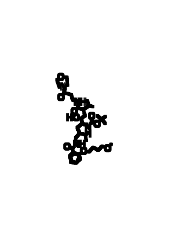 COCCCCOc1ccccc1C(=O)NCC(CC(NC(=O)OC(C)(C)C)C(O)CC(C(=O)NCCC(=O)N1CCOCC1)C(C)C)C(C)C